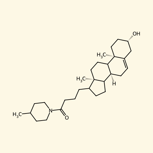 CC1CCN(C(=O)CCCC2CCC3[C@@H]4CC=C5C[C@@H](O)CC[C@]5(C)C4CC[C@]23C)CC1